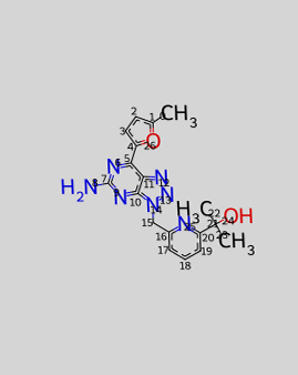 Cc1ccc(-c2nc(N)nc3c2nnn3Cc2cccc(C(C)(C)O)n2)o1